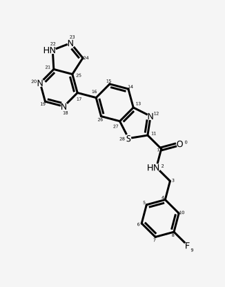 O=C(NCc1cccc(F)c1)c1nc2ccc(-c3ncnc4[nH]ncc34)cc2s1